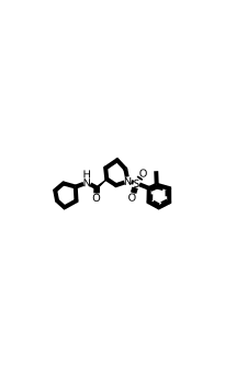 Cc1ccccc1S(=O)(=O)N1CCC[C@H](C(=O)NC2CCCCC2)C1